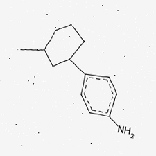 [CH2]C1CCCC(c2ccc(N)cc2)C1